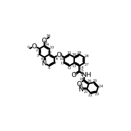 COc1cc2nccc(Oc3ccc4c(C(=O)Nc5onc6ccccc56)cccc4c3)c2cc1OC